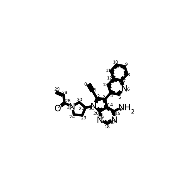 C#Cc1c(-c2cnc3ccccc3c2)c2c(N)ncnc2n1C1CCN(C(=O)C=C)C1